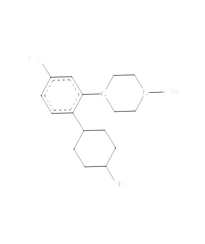 CCCCN1CCN(c2cc(OC(C)=O)ccc2C2CCC(C(C)(C)C)CC2)CC1